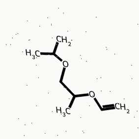 [CH2]C(C)OCC(C)OC=C